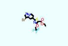 CCOC(=O)c1sc(-c2ccn3ncc(Br)c3c2)nc1OCC(F)(F)F